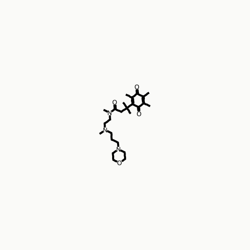 CC1=C(C)C(=O)C(C(C)(C)CC(=O)N(C)CCN(C)CCCN2CCOCC2)=C(C)C1=O